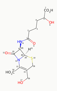 O=C(CCCC(O)C(=O)O)N[C@@H]1C(=O)N2C(C(=O)O)=C(CO)CS[C@H]12